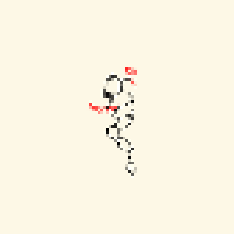 O=C(O)c1cccc(C(=O)O)c1Cc1ccc2c(c1)=CCc1c3c(ccc1=2)=CC(C1CCC1)CC3